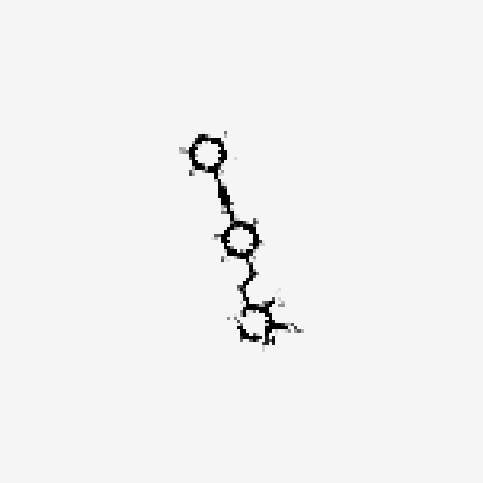 O=c1[nH]cnc(CCc2ccc(C#Cc3ccccc3)cc2)c1O